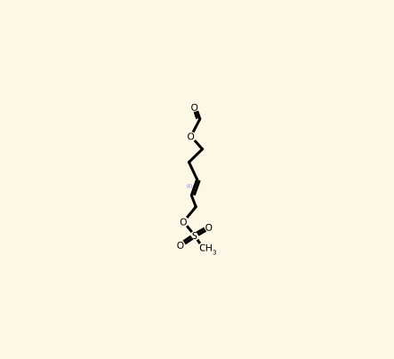 CS(=O)(=O)OC/C=C/CCOC=O